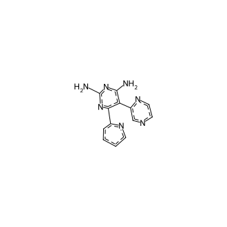 Nc1nc(N)c(-c2cnccn2)c(-c2ccccn2)n1